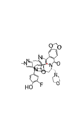 Cc1c(C(=O)N(c2ccc(O)c(F)c2)c2cnn(C)c2)cc(-c2cc3c(cc2C(=O)N2Cc4ccccc4C[C@H]2CN2CCOCC2)OCO3)n1C